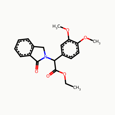 CCOC(=O)C(c1ccc(OC)c(OC)c1)N1Cc2ccccc2C1=O